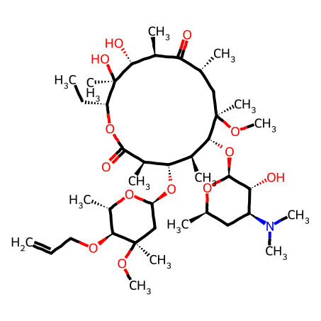 C=CCO[C@H]1[C@H](C)O[C@@H](O[C@H]2[C@H](C)[C@@H](O[C@@H]3O[C@H](C)C[C@H](N(C)C)[C@H]3O)[C@](C)(OC)C[C@@H](C)C(=O)[C@H](C)[C@@H](O)[C@](C)(O)[C@@H](CC)OC(=O)[C@@H]2C)C[C@@]1(C)OC